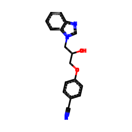 N#Cc1ccc(OCC(O)Cn2cnc3ccccc32)cc1